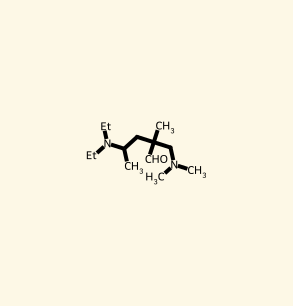 CCN(CC)C(C)CC(C)(C=O)CN(C)C